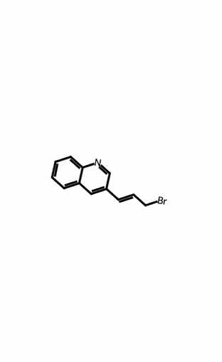 BrC/C=C/c1cnc2ccccc2c1